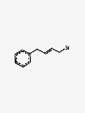 BrCC=CCc1ccccc1